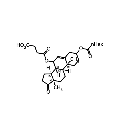 CCCCCCC(=O)OC1CC[C@@]2(C)C(=CC(OC(=O)CCC(=O)O)[C@@H]3[C@H]2CC[C@]2(C)C(=O)CC[C@@H]32)C1